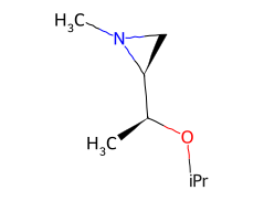 CC(C)O[C@@H](C)[C@@H]1CN1C